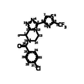 CC1c2nnc(-c3csc(C(F)(F)F)n3)n2CCN1C(=O)c1ccc(Cl)cc1